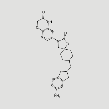 Nc1cnc2c(c1)CC(CN1CCC3(CC1)CN(c1cnc4c(n1)NC(=O)CO4)C(=O)O3)C2